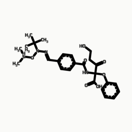 C[SiH](C)ON(/N=C/c1ccc(C(=O)NC(Oc2ccccc2)(C(=O)O)C(=O)CCO)cc1)C(C)(C)C